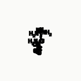 NC(=O)N(c1cccc(C#Cc2c(N)ncnc2N)c1)c1ccc2c(c1)OCCO2